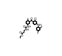 CCOC(=O)CCNC(=O)Nc1ccc(C)c(C(=O)c2ccc(Nc3ccc(F)cc3F)cc2Cl)c1